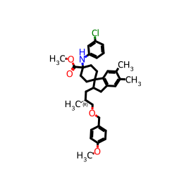 COC(=O)C1(Nc2cccc(Cl)c2)CCC2(CC1)c1cc(C)c(C)cc1CC2C[C@@H](C)COCc1ccc(OC)cc1